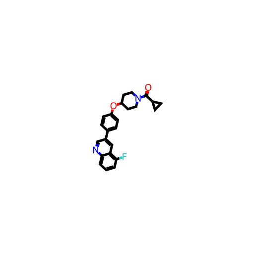 O=C(C1CC1)N1CCC(Oc2ccc(-c3cnc4cccc(F)c4c3)cc2)CC1